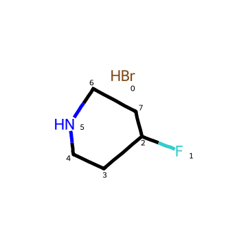 Br.FC1CCNCC1